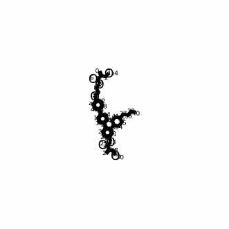 C=C(COC)C(=O)OCCOc1ccc(-c2ccc(-c3ccc(OC(=O)C(=C)COC)cc3C3CCC(CCCC)CC3)cc2)cc1